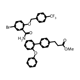 COC(=O)CCc1ccc(-c2ccccc2Oc2ccccc2)cc1.NC(=O)c1cc(Br)ccc1OCc1ccc(C(F)(F)F)cc1